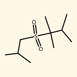 CC(C)CS(=O)(=O)C(C)(C)C(C)C